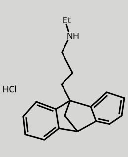 CCNCCCC12CC(c3ccccc31)c1ccccc12.Cl